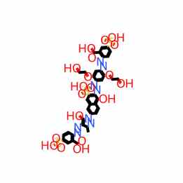 Cc1nn(-c2ccc3c(O)c(/N=N/c4cc(OCCO)c(/N=N/c5ccc(S(=O)(=O)O)cc5C(=O)O)cc4OCCO)c(S(=O)(=O)O)cc3c2)c(O)c1/N=N/c1ccc(S(=O)(=O)O)cc1C(=O)O